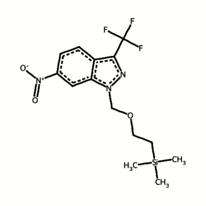 C[Si](C)(C)CCOCn1nc(C(F)(F)F)c2ccc([N+](=O)[O-])cc21